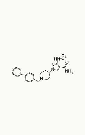 CNc1nn(C2CCN(Cc3ccc(-c4ccccc4)cc3)CC2)cc1C(N)=O